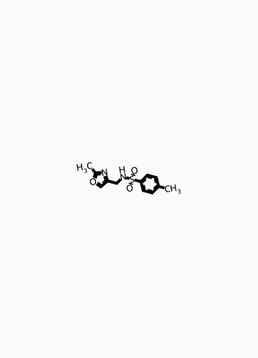 Cc1ccc(S(=O)(=O)NCc2coc(C)n2)cc1